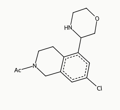 CC(=O)N1CCc2c(cc(Cl)cc2C2COCCN2)C1